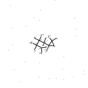 CC1(F)CC1(F)C(C)(C)C(C)(F)C(C)(F)C(F)F